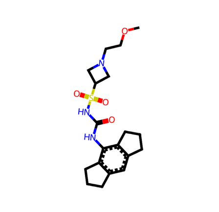 COCCN1CC(S(=O)(=O)NC(=O)Nc2c3c(cc4c2CCC4)CCC3)C1